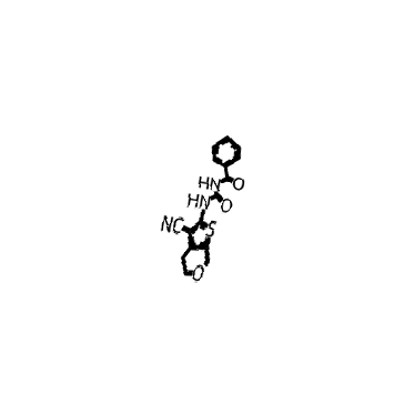 N#Cc1c(NC(=O)NC(=O)c2ccccc2)sc2c1CCOC2